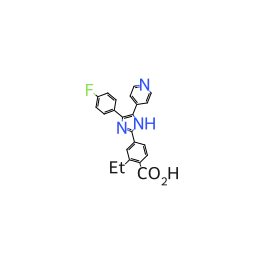 CCc1cc(-c2nc(-c3ccc(F)cc3)c(-c3ccncc3)[nH]2)ccc1C(=O)O